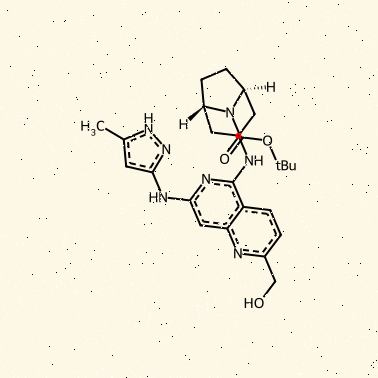 Cc1cc(Nc2cc3nc(CO)ccc3c(NC3C[C@@H]4CC[C@@H](C3)N4C(=O)OC(C)(C)C)n2)n[nH]1